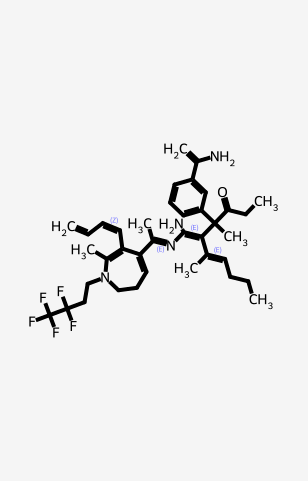 C=C/C=C\C1=C(C)N(CCC(F)(F)C(F)(F)F)CCC=C1/C(C)=N/C(N)=C(\C(C)=C\CCC)C(C)(C(=O)CC)c1cccc(C(=C)N)c1